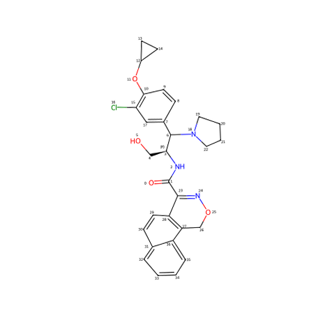 O=C(N[C@@H](CO)C(c1ccc(OC2CC2)c(Cl)c1)N1CCCC1)C1=NOCc2c1ccc1ccccc21